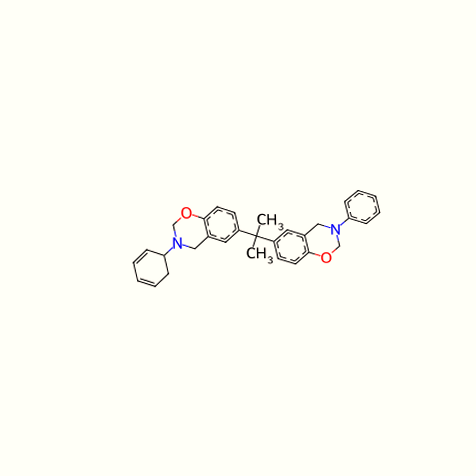 CC(C)(c1ccc2c(c1)CN(c1ccccc1)CO2)c1ccc2c(c1)CN(C1C=CC=CC1)CO2